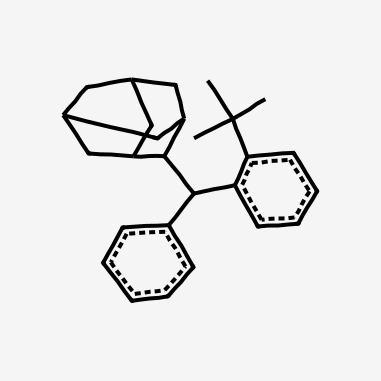 CC(C)(C)c1ccccc1C(c1ccccc1)C1C2CC3CC(C2)CC1C3